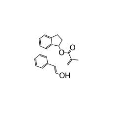 C=C(C)C(=O)OC1CCc2ccccc21.OC=Cc1ccccc1